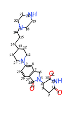 O=C1CCC(N2Cc3cc(N4CCC(CCCN5CCNCC5)CC4)ccc3C2=O)C(=O)N1